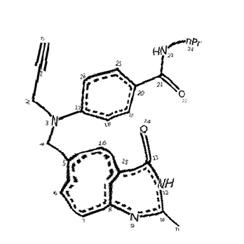 C#CCN(Cc1ccc2nc(C)[nH]c(=O)c2c1)c1ccc(C(=O)NCCC)cc1